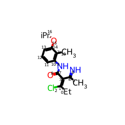 CC/C(Cl)=C(\C(C)=N)C(=O)Nc1cccc(OC(C)C)c1C